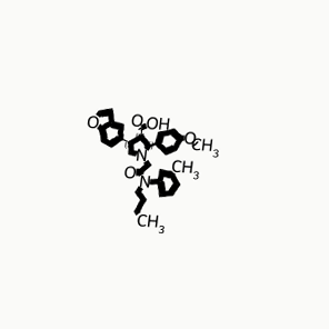 CCCCN(C(=O)CN1C[C@H](c2ccc3occc3c2)[C@H](C(=O)O)[C@H]1c1ccc(OC)cc1)c1cccc(C)c1